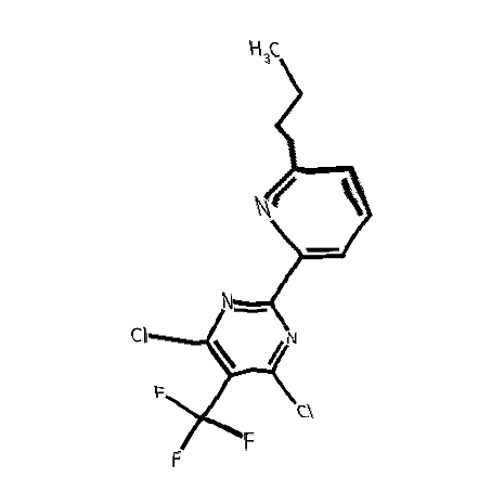 CCCc1cccc(-c2nc(Cl)c(C(F)(F)F)c(Cl)n2)n1